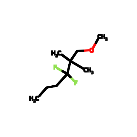 CCCC(F)(F)C(C)(C)COC